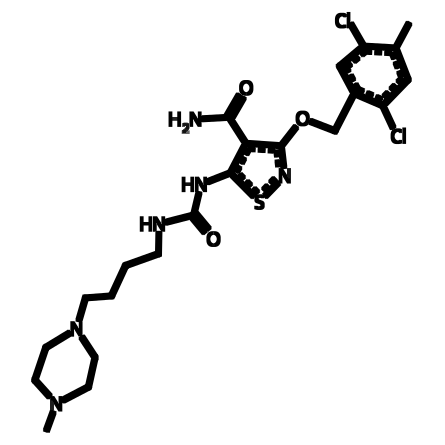 Cc1cc(Cl)c(COc2nsc(NC(=O)NCCCCN3CCN(C)CC3)c2C(N)=O)cc1Cl